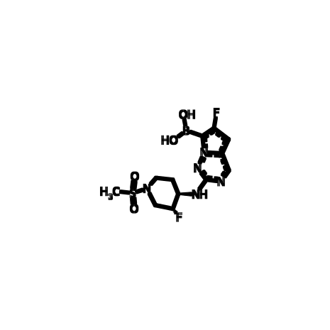 CS(=O)(=O)N1CC[C@@H](Nc2ncc3cc(F)c(B(O)O)n3n2)[C@H](F)C1